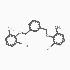 Cc1cccc(C)c1OCc1cccc(COc2c(C)cccc2C)c1